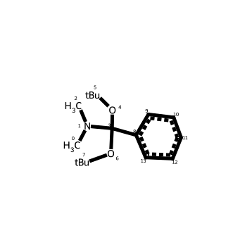 CN(C)C(OC(C)(C)C)(OC(C)(C)C)c1ccccc1